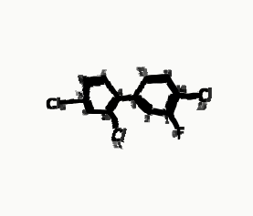 Fc1cc(-c2ccc(Cl)cc2Cl)ccc1Cl